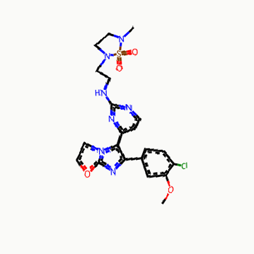 COc1cc(-c2nc3occn3c2-c2ccnc(NCCN3CCN(C)S3(=O)=O)n2)ccc1Cl